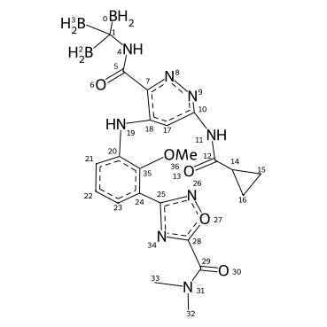 BC(B)(B)NC(=O)c1nnc(NC(=O)C2CC2)cc1Nc1cccc(-c2noc(C(=O)N(C)C)n2)c1OC